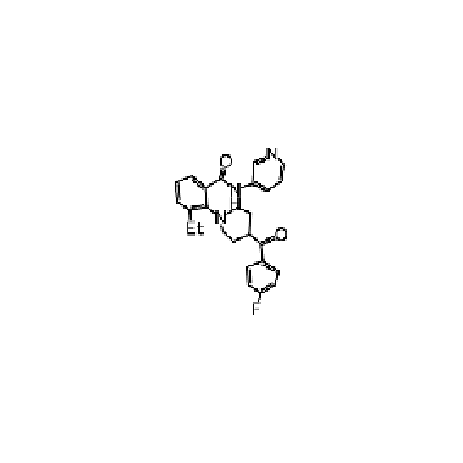 CCc1cccc(C(=O)Nc2cccnc2)c1N1CCC(C(=O)c2ccc(F)cc2)CC1